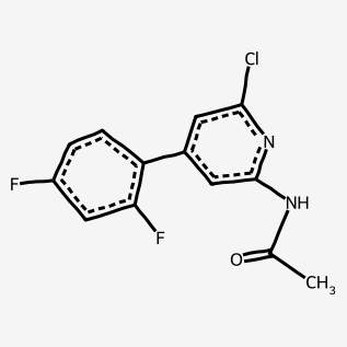 CC(=O)Nc1cc(-c2ccc(F)cc2F)cc(Cl)n1